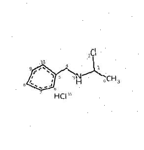 CC(Cl)NCc1ccccc1.Cl